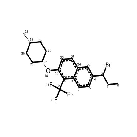 CCC(Br)c1ccc2c(C(F)(F)F)c(O[C@H]3CC[C@@H](C)CC3)ccc2c1